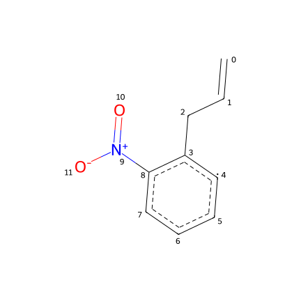 C=CCc1[c]cccc1[N+](=O)[O-]